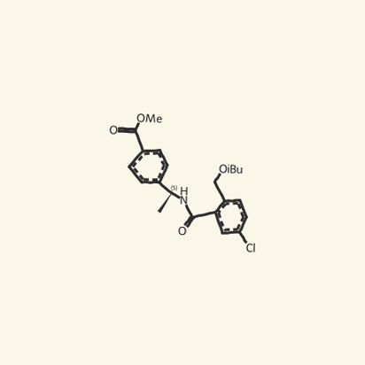 COC(=O)c1ccc([C@H](C)NC(=O)c2cc(Cl)ccc2COCC(C)C)cc1